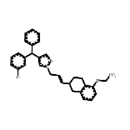 O=C(O)COc1cccc2c1CCC(C=CCn1cc(C(c3ccccc3)c3cccc(Cl)c3)cn1)C2